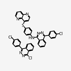 Clc1ccc(-c2nnc(Cl)c3ccccc23)cc1.Clc1ccc(-c2nnc(Nc3ccc(Sc4ccnc5cccnc45)cc3)c3ccccc23)cc1